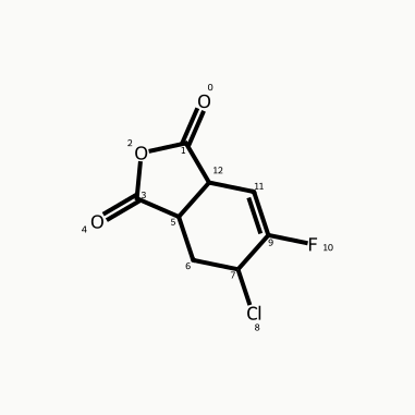 O=C1OC(=O)C2CC(Cl)C(F)=CC12